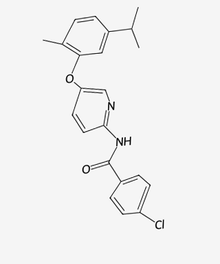 Cc1ccc(C(C)C)cc1Oc1ccc(NC(=O)c2ccc(Cl)cc2)nc1